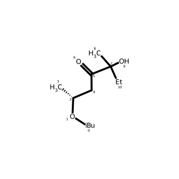 CCC(C)O[C@H](C)CC(=O)C(C)(O)CC